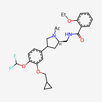 CCOc1ccccc1C(=O)NC[C@H]1CC(c2ccc(OC(F)F)c(OCC3CC3)c2)CN1C(C)=O